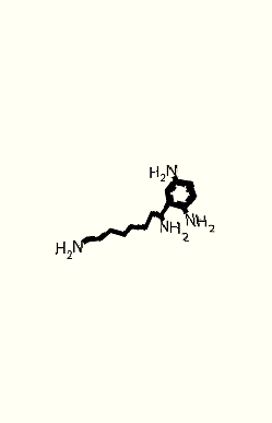 NCCCCCCCC(N)c1cc(N)ccc1N